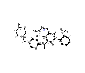 CN/N=C\c1nc(-c2ccccc2OC)nc(Nc2ccc(CN3CCNCC3)cc2)c1C=O